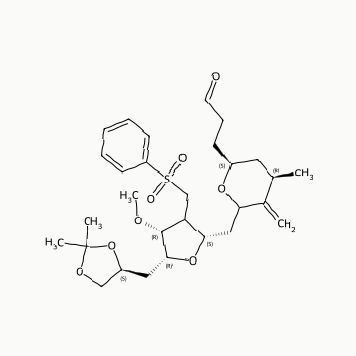 C=C1C(C[C@@H]2O[C@H](C[C@H]3COC(C)(C)O3)[C@H](OC)C2CS(=O)(=O)c2ccccc2)O[C@@H](CCC=O)C[C@H]1C